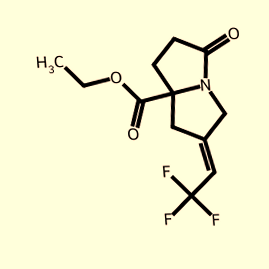 CCOC(=O)C12CCC(=O)N1CC(=CC(F)(F)F)C2